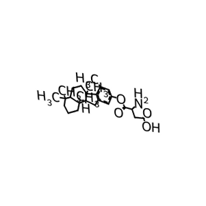 Cc1cc(OC(=O)C(N)CC(=O)O)cc2c1C1(C)CCC3C(C)(C)CCC[C@]3(C)[C@H]1C2